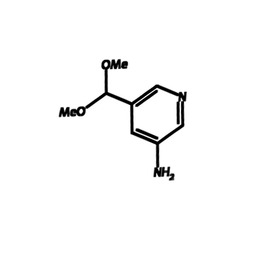 COC(OC)c1cncc(N)c1